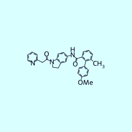 COc1ccc(-c2c(C)cccc2C(=O)Nc2ccc3c(c2)CCN3C(=O)Cc2ccccn2)cc1